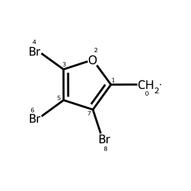 [CH2]c1oc(Br)c(Br)c1Br